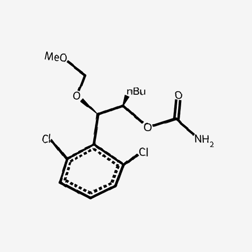 CCCC[C@@H](OC(N)=O)[C@H](OCOC)c1c(Cl)cccc1Cl